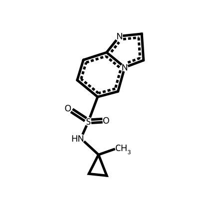 CC1(NS(=O)(=O)c2ccc3nccn3c2)CC1